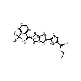 CCOC(=O)c1cnc(C2CC3=C(CN(C(=O)c4ccccc4C(F)(F)F)C3)N2)s1